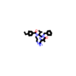 CCc1ccc(C(=O)N(CCCN)C(c2nc(C#N)c(C)c(=O)n2Cc2ccccc2)C(C)C)cc1